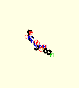 O=C(CN1CCC[C@H](NS(=O)(=O)c2ccc3cc(Cl)ccc3c2)C1=O)N1CCN(C(=O)c2ccco2)CC1